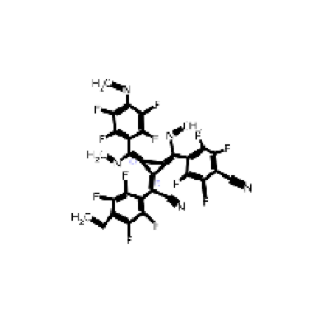 C=Cc1c(F)c(F)c(/C(C#N)=C2/C(=C(N=C)c3c(F)c(F)c(C#N)c(F)c3F)/C2=C(/N=C)c2c(F)c(F)c(N=C)c(F)c2F)c(F)c1F